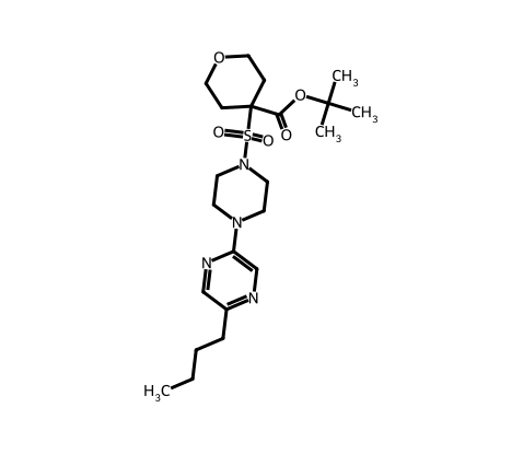 CCCCc1cnc(N2CCN(S(=O)(=O)C3(C(=O)OC(C)(C)C)CCOCC3)CC2)cn1